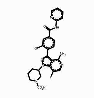 Nc1ncc(I)c2c1c(-c1ccc(C(=O)Nc3ccccn3)cc1Cl)nn2C1CCCN(C(=O)O)C1